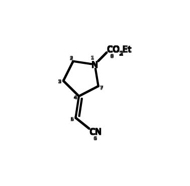 CCOC(=O)N1CC/C(=C/C#N)C1